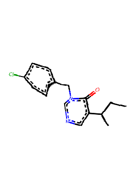 CCC(C)c1cncn(Cc2ccc(Cl)cc2)c1=O